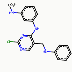 O=C(O)Nc1cccc(Nc2nc(Cl)ncc2CNc2ccccc2)c1